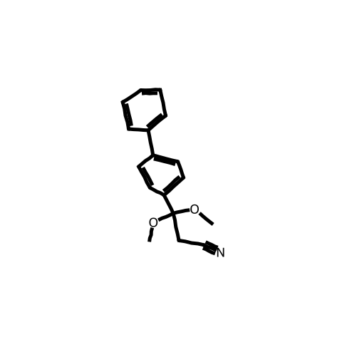 COC(CC#N)(OC)c1ccc(-c2ccccc2)cc1